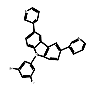 Brc1cc(Br)cc(-n2c3ccc(-c4cccnc4)cc3c3cc(-c4cccnc4)ccc32)c1